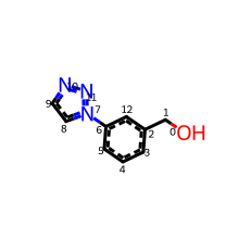 OCc1cccc(-n2ccnn2)c1